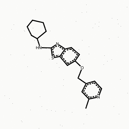 Cc1cc(COc2ccc3nc(NC4CCCCC4)sc3c2)ccn1